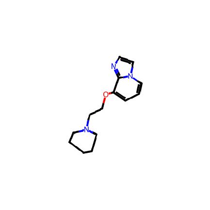 c1cc(OCCN2CCCCC2)c2nccn2c1